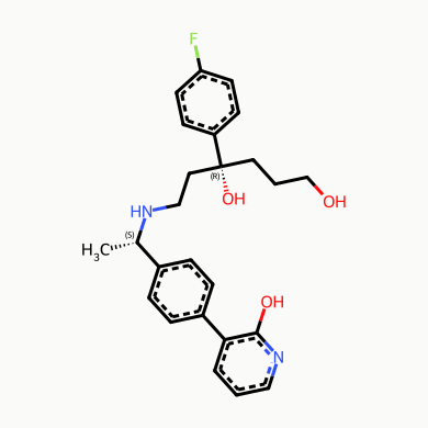 C[C@H](NCC[C@](O)(CCCO)c1ccc(F)cc1)c1ccc(-c2cccnc2O)cc1